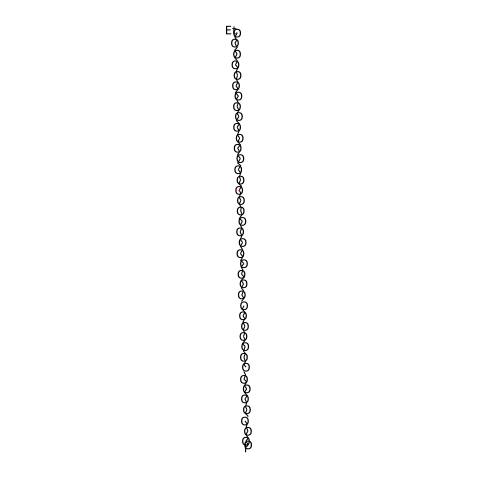 CCOCCOCCOCCOCCOCCOCCOCCOCCOCCOCCOCCOCCOCCOCCOCCOCCOCCOCCOCCOCCOCCOCCOCCOCCOCCOCCOCCOCCOCCOCCOCCOCCOCCOCCOCCOCCOCCOCCOCCOOI